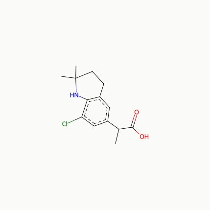 CC(C(=O)O)c1cc(Cl)c2c(c1)CCC(C)(C)N2